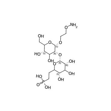 NOCCO[C@H]1OC(CO)[C@@H](O)C(O)[C@H]1O[C@H]1OC(CCP(=O)(O)O)[C@@H](O)C(O)[C@H]1O